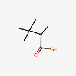 CC(C(=O)S)C(C)(C)C